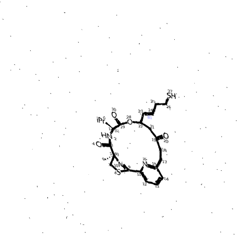 CC(C)[C@@H]1NC(=O)[C@]2(C)CSC(=N2)c2cccc(n2)CCC(=O)CC(/C=C/CCS)OC1=O